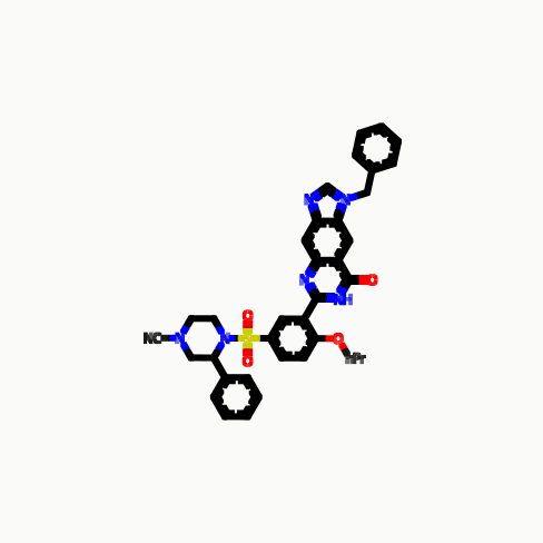 CCCOc1ccc(S(=O)(=O)N2CCN(C#N)CC2c2ccccc2)cc1-c1nc2cc3ncn(Cc4ccccc4)c3cc2c(=O)[nH]1